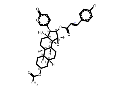 CC(=O)O[C@H]1CC[C@@]2(C)[C@H](CC[C@@H]3[C@@H]2CC[C@]2(C)[C@@H](c4ccc(=O)oc4)[C@@H](OC(=O)/C=C/c4ccc(Cl)cc4)[C@H]4O[C@]342)C1